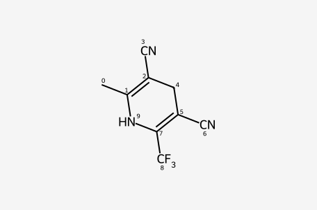 CC1=C(C#N)CC(C#N)=C(C(F)(F)F)N1